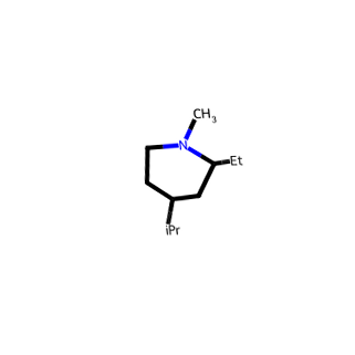 CCC1CC(C(C)C)CCN1C